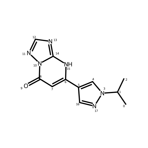 CC(C)n1cc(-c2cc(=O)n3ncnc3[nH]2)cn1